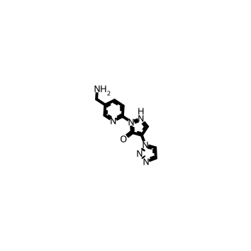 NCc1ccc(-n2[nH]cc(-n3ccnn3)c2=O)nc1